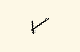 C=CC(=O)OC(CCCCCC)CCCCCCCCCCCOCC